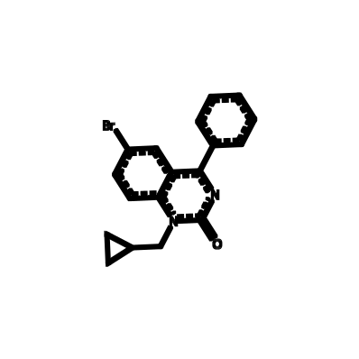 O=c1nc(-c2ccccc2)c2cc(Br)ccc2n1CC1CC1